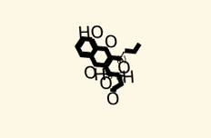 CCC[C@@H]1O[C@H]2CC(=O)O[C@H]2C2=C1C(=O)c1c(O)cccc1C2=O